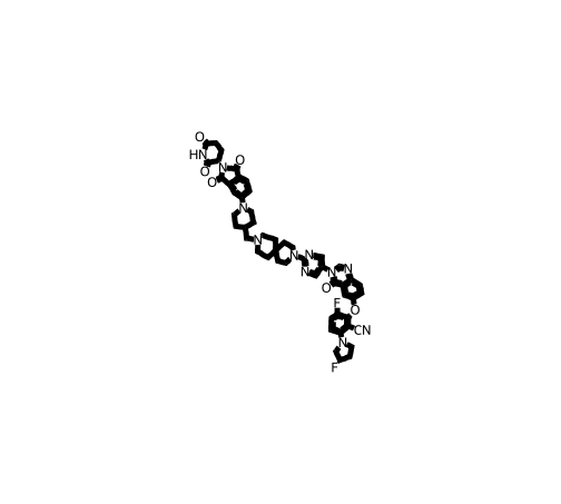 N#Cc1c(N2CC[C@@H](F)C2)ccc(F)c1Oc1ccc2ncn(-c3cnc(N4CCC5(CCN(CC6CCN(c7ccc8c(c7)C(=O)N(C7CCC(=O)NC7=O)C8=O)CC6)CC5)CC4)nc3)c(=O)c2c1